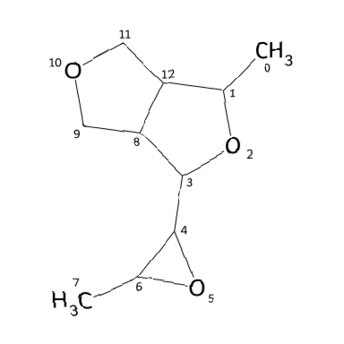 CC1OC(C2OC2C)C2COCC12